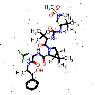 C[C@H](NC(=O)[C@H](CC(F)F)NC(=O)[C@@H]1[C@@H]2[C@H](CN1C(=O)[C@@H](NC(=O)N[C@H](CN(C)S(C)(=O)=O)C(C)(C)C)C(C)(C)C)C2(C)C)[C@H](O)c1ccccc1